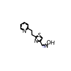 O/N=C\c1csc(CCc2ccccn2)n1